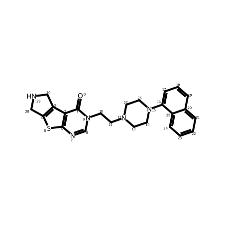 O=c1c2c3c(sc2ncn1CCN1CCN(c2cccc4ccccc24)CC1)CNC3